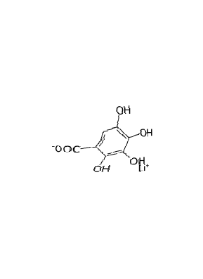 O=C([O-])c1cc(O)c(O)c(O)c1O.[Li+]